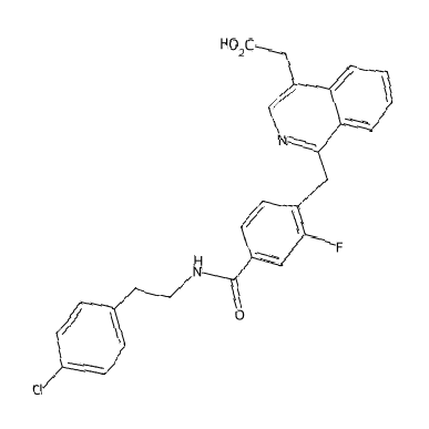 O=C(O)Cc1cnc(Cc2ccc(C(=O)NCCc3ccc(Cl)cc3)cc2F)c2ccccc12